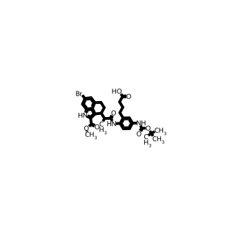 COC(=O)c1[nH]c2cc(Br)cc3c2c1C(C(C)C(=O)Nc1ccc(NC(=O)OC(C)(C)C)cc1CCCC(=O)O)CC3